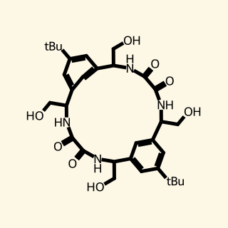 CC(C)(C)c1cc2cc(c1)C(CO)NC(=O)C(=O)NC(CO)c1cc(cc(C(C)(C)C)c1)C(CO)NC(=O)C(=O)NC2CO